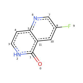 O=c1[nH]ccc2ncc(F)cc12